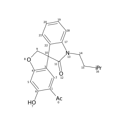 CC(=O)c1cc2c(cc1O)OCC21C(=O)N(CCC(C)C)c2ccccc21